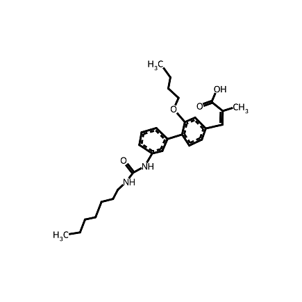 CCCCCCCNC(=O)Nc1cccc(-c2ccc(/C=C(/C)C(=O)O)cc2OCCCC)c1